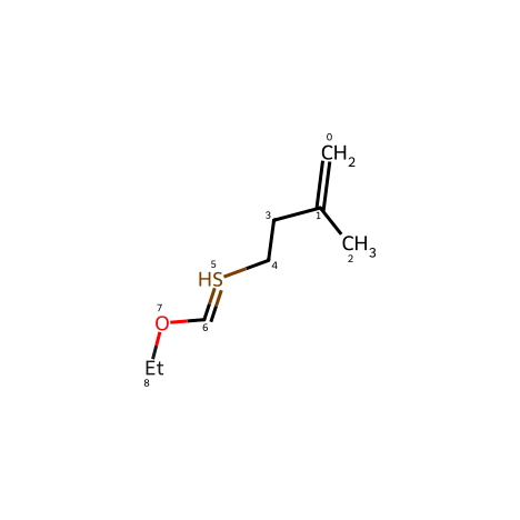 C=C(C)CC[SH]=COCC